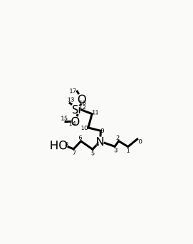 CCCCN(CCCO)CCC[Si](C)(OC)OC